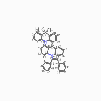 CC1(C)c2ccccc2N2c3cccc4c3B(c3cccc1c32)c1cccc2c(-c3ccccc3)c(-c3ccccc3)n-4c12